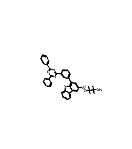 CC(C)(O)C(C)(C)OBc1cc(-c2cccc(-c3nc(-c4ccccc4)nc(-c4ccccc4)n3)c2)c2sc3ccccc3c2c1